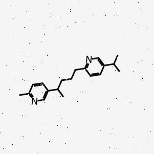 Cc1ccc(C(C)CCCc2ccc(C(C)C)cn2)cn1